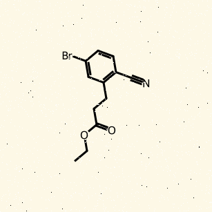 CCOC(=O)CCc1cc(Br)ccc1C#N